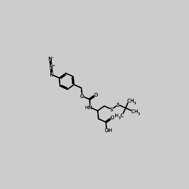 CC(C)(C)SSCC(CC(=O)O)NC(=O)OCc1ccc(N=[N+]=[N-])cc1